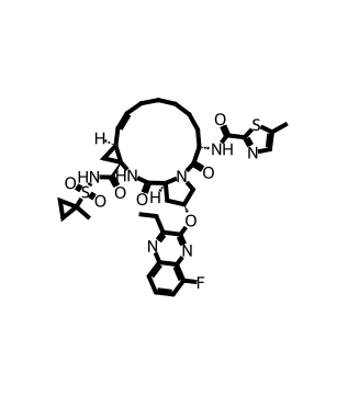 CCc1nc2cccc(F)c2nc1O[C@@H]1C[C@H]2C(=O)N[C@]3(C(=O)NS(=O)(=O)C4(C)CC4)C[C@H]3C=CCCCCC[C@H](NC(=O)c3ncc(C)s3)C(=O)N2C1